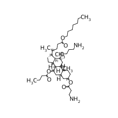 CCCCCCCOC(=O)CC[C@@H](C)[C@H]1CC[C@H]2[C@@H]3[C@H](OC(=O)CCC)C[C@@H]4C[C@H](OC(=O)CCN)CC[C@]4(C)[C@H]3C[C@H](OCCCN)[C@]12C